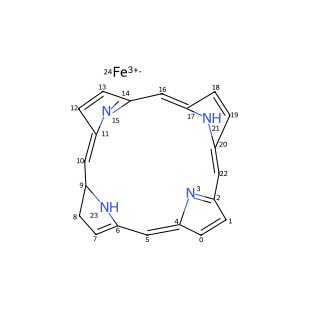 C1=CC2=NC1=CC1=CCC(C=C3C=CC(=N3)C=c3ccc([nH]3)=C2)N1.[Fe+3]